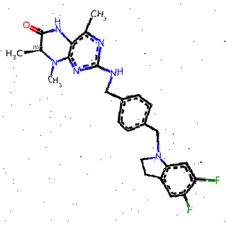 Cc1nc(NCc2ccc(CN3CCc4cc(F)c(F)cc43)cc2)nc2c1NC(=O)[C@H](C)N2C